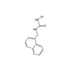 CCNC(=S)NCc1cccc2ccccc12